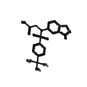 CC(C)(C)c1ccc(S(=O)(=O)N(CC(=O)O)c2ccc3cn[nH]c3c2)cc1